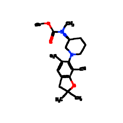 CN(C(=O)OC(C)(C)C)[C@H]1CCCN(c2c([N+](=O)[O-])cc3c(c2C#N)OC(C)(C)C3)C1